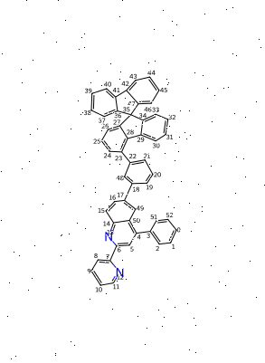 c1ccc(-c2cc(-c3ccccn3)nc3ccc(-c4cccc(-c5cccc6c5-c5ccccc5C65c6ccccc6-c6ccccc65)c4)cc23)cc1